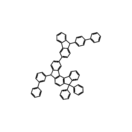 c1ccc(-c2ccc(C3c4ccccc4-c4cc(-c5ccc6c(c5)c5c7c(ccc5n6-c5cccc(-c6ccccc6)c5)C(c5ccccc5)(c5ccccc5)c5ccccc5-7)ccc43)cc2)cc1